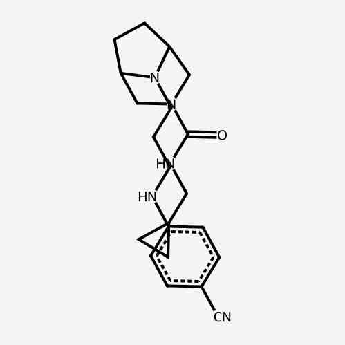 N#Cc1ccc(NCCCN2C3CCC2CN(C(=O)NCC2CC2)C3)cc1